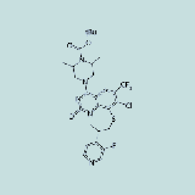 CC1CN(c2nc(=O)n3c4c(c(Cl)c(C(F)(F)F)cc24)SC[C@H](c2ccncc2F)C3)CC(C)N1C(=O)OC(C)(C)C